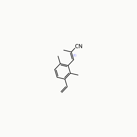 C=Cc1ccc(C)c(/C=C(\C)C#N)c1C